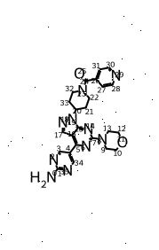 Nc1ncc(-c2nc(N3CCOCC3)nc3c2cnn3C2CCN(C(=O)c3ccncc3)CC2)cn1